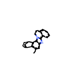 Cc1cc2nc3c4ccccc4ccn3c2c2c1C1CCC2C1